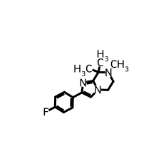 CN1CCn2cc(-c3ccc(F)cc3)nc2C1(C)C